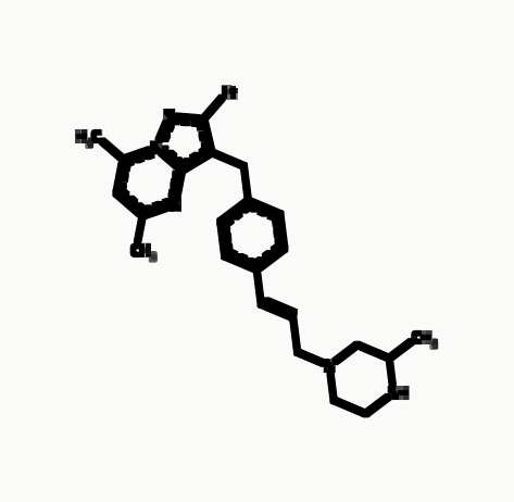 CCc1nn2c(C)cc(C)nc2c1Cc1ccc(/C=C/CN2CCNC(C)C2)cc1